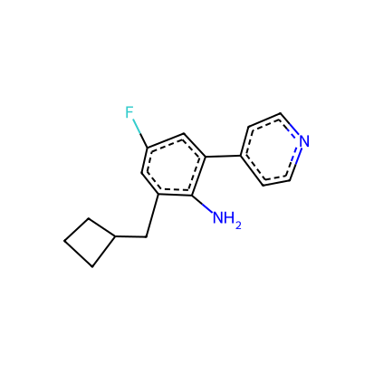 Nc1c(CC2CCC2)cc(F)cc1-c1ccncc1